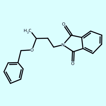 CC(CCN1C(=O)c2ccccc2C1=O)OCc1ccccc1